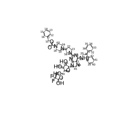 O=C(O)C(F)(F)F.O=C(OCc1ccccc1)N1CCN(C2CCN(c3nc(NCC(c4ccccc4)c4ccccc4)c4ncn([C@@H]5O[C@H](CO)[C@@H](O)[C@H]5O)c4n3)C2)CC1